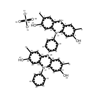 Cc1cc2nc3cc(C)c(O)cc3[n+](-c3ccccc3)c2cc1O.Cc1cc2nc3cc(C)c(O)cc3[n+](-c3ccccc3)c2cc1O.O=S(=O)([O-])[O-]